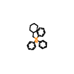 c1ccc([PH](CC2CCCCC2)(c2ccccc2)c2ccccc2)cc1